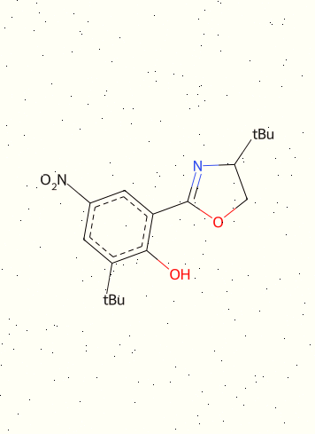 CC(C)(C)c1cc([N+](=O)[O-])cc(C2=NC(C(C)(C)C)CO2)c1O